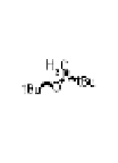 CN(OCC(C)(C)C)C(C)(C)C